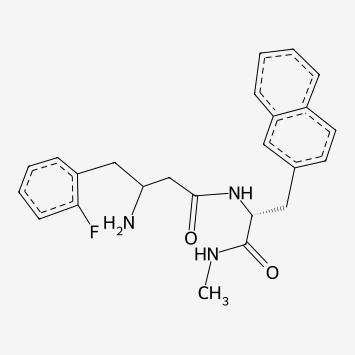 CNC(=O)[C@@H](Cc1ccc2ccccc2c1)NC(=O)CC(N)Cc1ccccc1F